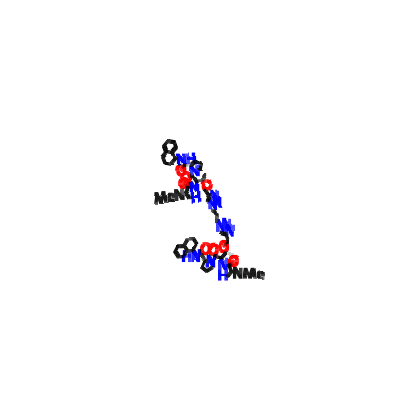 CN[C@@H](C)C(=O)N[C@H](C(=O)N1CCC[C@H]1C(=O)N[C@@H]1CCCc2ccccc21)[C@@H](C)OCc1cn(CCCn2cc(CO[C@H](C)[C@H](NC(=O)[C@H](C)NC)C(=O)N3CCC[C@H]3C(=O)N[C@@H]3CCCc4ccccc43)nn2)nn1